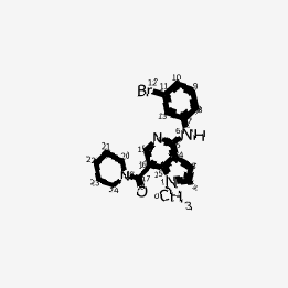 Cn1ccc2c(Nc3cccc(Br)c3)ncc(C(=O)N3CCCCC3)c21